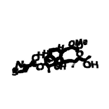 CO[C@H]1C[C@H]2C=C[C@H]3[C@H]4C[C@]2(/C(C)=C/[C@@H](C)[C@@H]([C@@H](C)O)OC1=O)[C@@H]3[C@H](O)[C@@H](C)[C@H]4OC(=O)c1cscn1